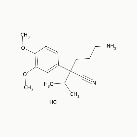 COc1ccc(C(C#N)(CCCN)C(C)C)cc1OC.Cl